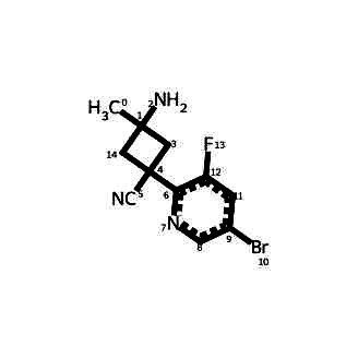 CC1(N)CC(C#N)(c2ncc(Br)cc2F)C1